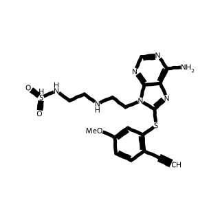 C#Cc1ccc(OC)cc1Sc1nc2c(N)ncnc2n1CCNCCN[SH](=O)=O